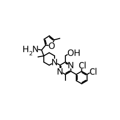 Cc1ccc(C(N)C2(C)CCN(c3nc(C)c(-c4cccc(Cl)c4Cl)nc3CO)CC2)o1